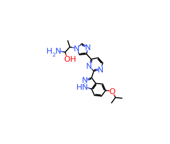 CC(C)Oc1ccc2[nH]nc(-c3nccc(-c4cn(C(C)C(N)O)cn4)n3)c2c1